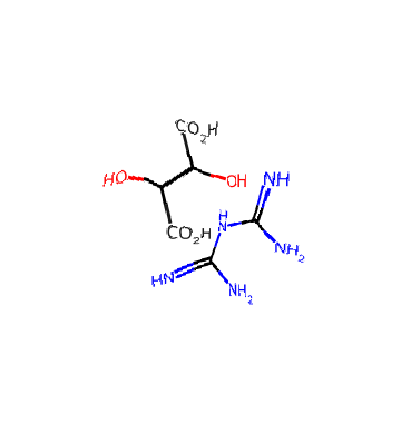 N=C(N)NC(=N)N.O=C(O)C(O)C(O)C(=O)O